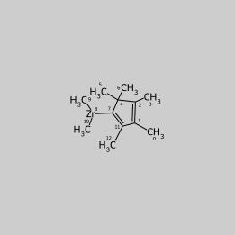 CC1=C(C)C(C)(C)[C]([Zr]([CH3])[CH3])=C1C